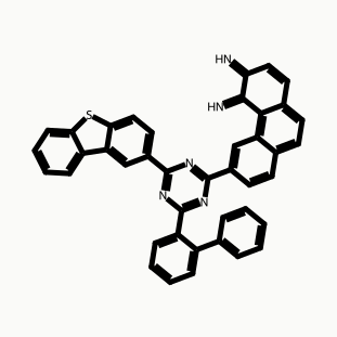 N=C1C=Cc2ccc3ccc(-c4nc(-c5ccc6sc7ccccc7c6c5)nc(-c5ccccc5-c5ccccc5)n4)cc3c2C1=N